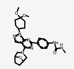 CNC(=O)Nc1ccc(-c2nc(N3CC4CCC(C3)O4)c3cnn(C4CCC(OC)(OC)CC4)c3n2)cc1